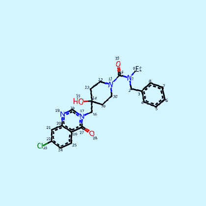 CCN(Cc1ccccc1)C(=O)N1CCC(O)(Cn2cnc3cc(Cl)ccc3c2=O)CC1